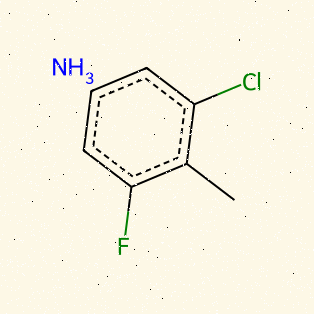 Cc1c(F)cccc1Cl.N